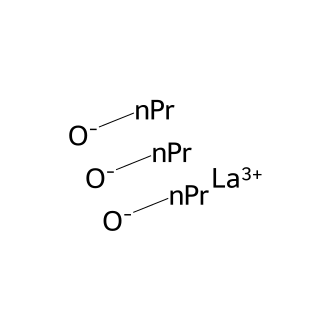 CCC[O-].CCC[O-].CCC[O-].[La+3]